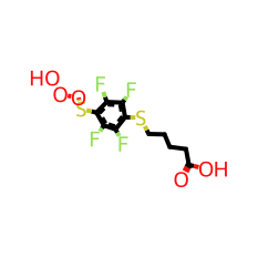 O=C(O)CCCCSc1c(F)c(F)c(SOOO)c(F)c1F